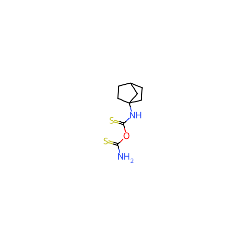 NC(=S)OC(=S)NC12CCC(CC1)C2